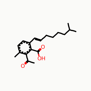 CC(=O)c1c(C)ccc(C=CCCCCC(C)C)c1C(=O)O